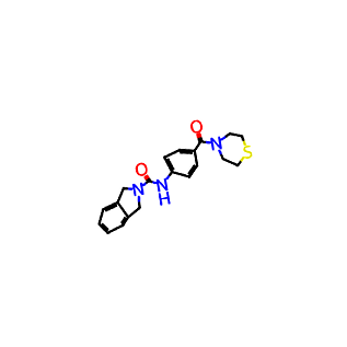 O=C(Nc1ccc(C(=O)N2CCSCC2)cc1)N1Cc2ccccc2C1